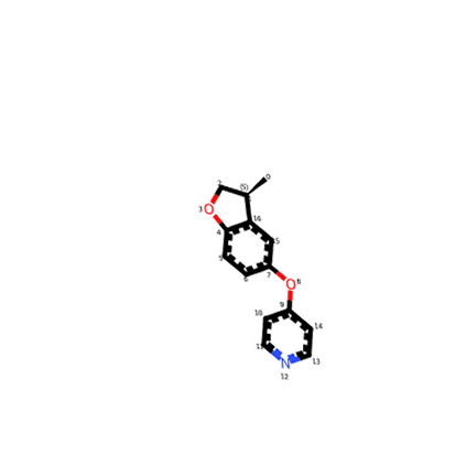 C[C@@H]1COc2ccc(Oc3ccncc3)cc21